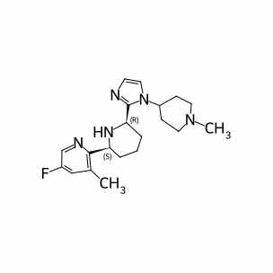 Cc1cc(F)cnc1[C@@H]1CCC[C@H](c2nccn2C2CCN(C)CC2)N1